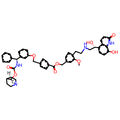 COc1cc(COC(=O)c2ccc(COc3cccc([C@@H](NC(=O)O[C@H]4CN5CCC4CC5)c4ccccc4)c3)cc2)ccc1CCNC[C@H](O)c1ccc(O)c2[nH]c(=O)ccc12